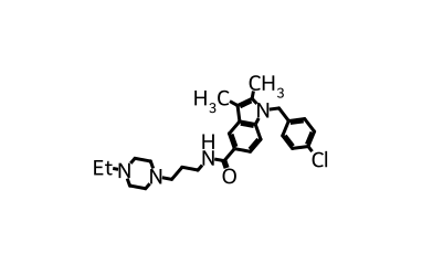 CCN1CCN(CCCNC(=O)c2ccc3c(c2)c(C)c(C)n3Cc2ccc(Cl)cc2)CC1